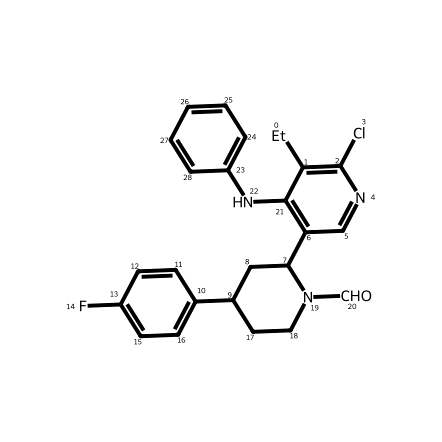 CCc1c(Cl)ncc(C2CC(c3ccc(F)cc3)CCN2C=O)c1Nc1ccccc1